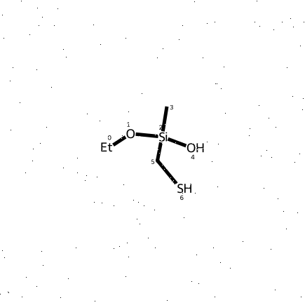 CCO[Si](C)(O)CS